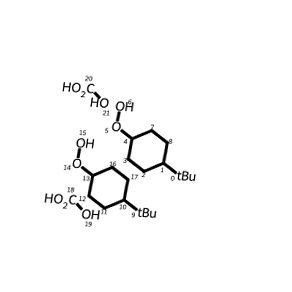 CC(C)(C)C1CCC(OO)CC1.CC(C)(C)C1CCC(OO)CC1.O=C(O)O.O=C(O)O